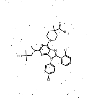 CN(CC(C)(C)O)c1nc(N2CCC(C)(C(N)=O)CC2)c2nc(-c3ccccc3Cl)n(-c3ccc(Cl)cc3)c2n1